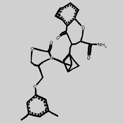 Cc1cc(C)cc(OCC2COC(=O)N2C2C3CC2(C2C(=O)c4ccccc4OC2C(N)=O)C3)c1